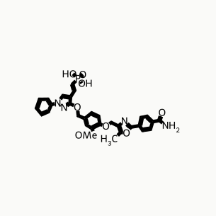 COc1cc(COc2nn(-c3ccccc3)cc2C=CP(=O)(O)O)ccc1OCc1nc(-c2ccc(C(N)=O)cc2)oc1C